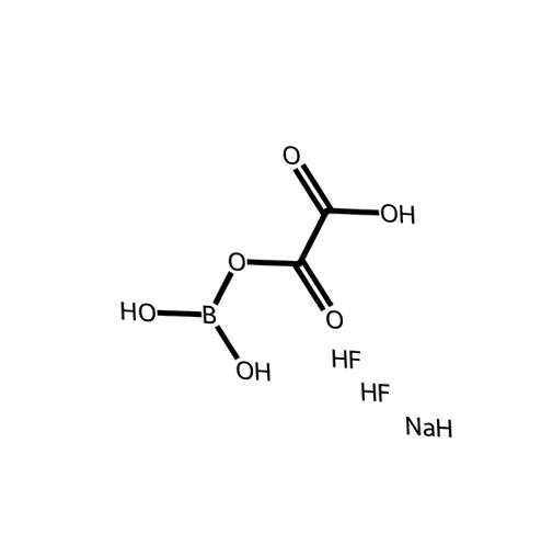 F.F.O=C(O)C(=O)OB(O)O.[NaH]